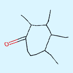 CC1CC(=O)C(C)C(C)C1C